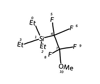 CC[Si](CC)(CC)C(F)(F)C(F)(F)OC